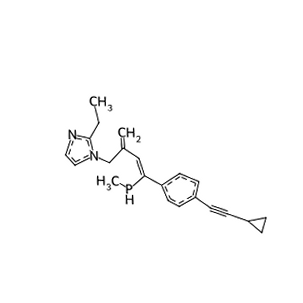 C=C(/C=C(\PC)c1ccc(C#CC2CC2)cc1)Cn1ccnc1CC